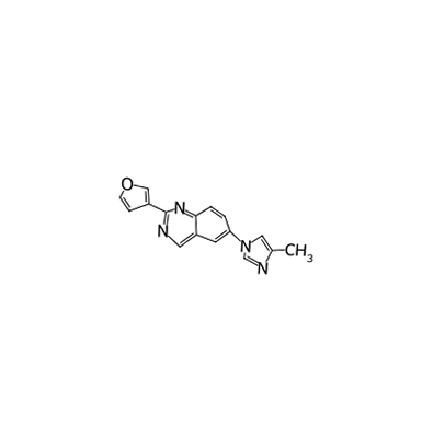 Cc1cn(-c2ccc3nc(-c4ccoc4)ncc3c2)cn1